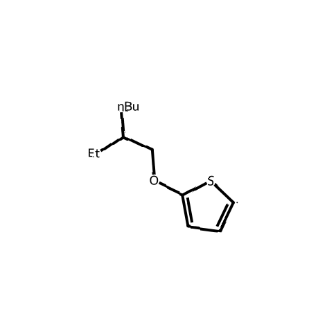 CCCCC(CC)COc1cc[c]s1